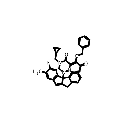 Cc1cc2c(cc1F)C1(N3CN(CC4CC4)C(=O)c4c(OCc5ccccc5)c(=O)ccn43)C(=C2)Cc2ccccc21